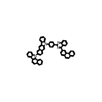 c1ccc2c(c1)ccc1ccc(-c3nc(-c4ccc(-n5c6ccccc6c6cc7cc(-n8c9ccccc9c9ccc%10ccccc%10c98)ccc7cc65)cc4)nc4ccccc34)cc12